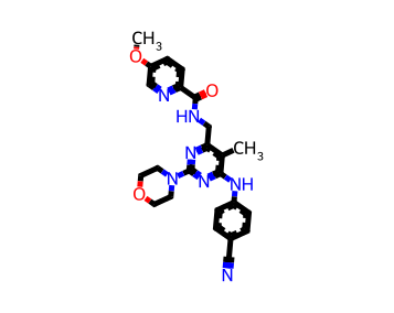 COc1ccc(C(=O)NCc2nc(N3CCOCC3)nc(Nc3ccc(C#N)cc3)c2C)nc1